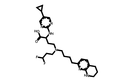 O=C(O)C(CCN(CCCCc1ccc2c(n1)NCCC2)CCC(F)F)Nc1ncc(C2CC2)cn1